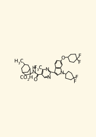 CC1CC2CC(C1)C(NC(=O)c1cnc(-c3cn(C4CCC(F)(F)CC4)c4cc(OC5CCC(F)(F)CC5)ccc34)nc1C(F)(F)F)(C(=O)O)C2